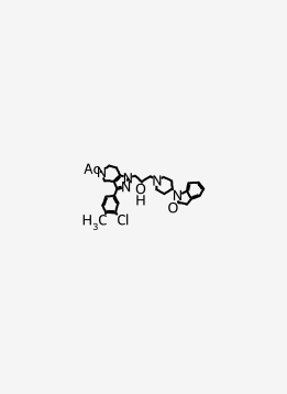 CC(=O)N1CCc2c(c(-c3ccc(C)c(Cl)c3)nn2CC(O)CN2CCC(N3C(=O)Cc4ccccc43)CC2)C1